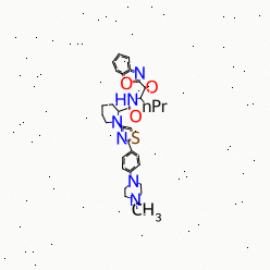 CCCC(NC(=O)C1CCCCN1c1csc(-c2ccc(N3CCN(C)CC3)cc2)n1)C(=O)c1nc2ccccc2o1